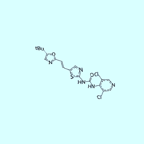 CC(C)(C)c1cnc(/C=C/c2cnc(NC(=O)Nc3c(Cl)cncc3Cl)s2)o1